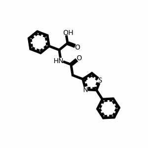 O=C(Cc1csc(-c2ccccc2)n1)NC(C(=O)O)c1ccccc1